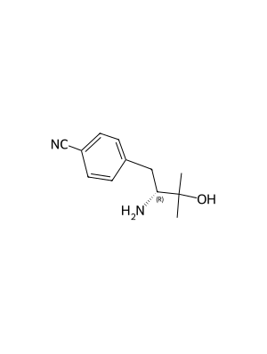 CC(C)(O)[C@H](N)Cc1ccc(C#N)cc1